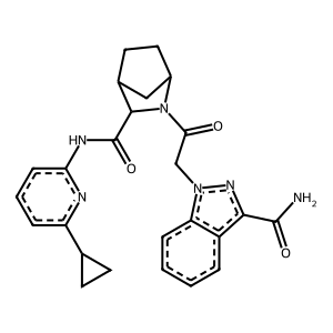 NC(=O)c1nn(CC(=O)N2C3CCC(C3)C2C(=O)Nc2cccc(C3CC3)n2)c2ccccc12